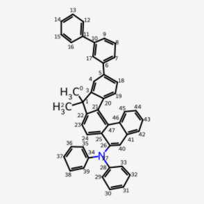 CC1(C)c2cc(-c3cccc(-c4ccccc4)c3)ccc2-c2c1ccc1c(N(c3ccccc3)c3ccccc3)cc3ccccc3c21